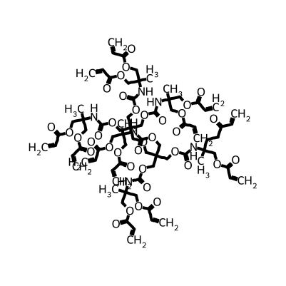 C=CC(=O)CCC(C)(COC(=O)C=C)NC(=O)OCC(COCC(COC(=O)NC(C)(COC(=O)C=C)COC(=O)C=C)(COC(=O)NC(C)(COC(=O)C=C)COC(=O)C=C)COC(=O)NC(C)(COC(=O)C=C)COC(=O)C=C)(COC(=O)NC(C)(COC(=O)C=C)COC(=O)C=C)COC(=O)NC(C)(COC(=O)C=C)COC(=O)C=C